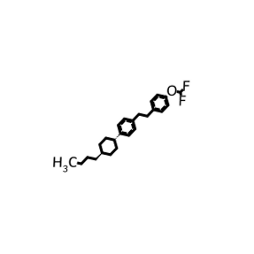 CCCC[C@H]1CC[C@H](c2ccc(CCc3ccc(OC(F)F)cc3)cc2)CC1